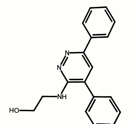 OCCNc1nnc(-c2ccccc2)cc1-c1ccccc1